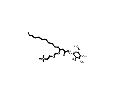 CCCCCCCCCCCC(CC(=O)NO[C@H]1O[C@H](CO)[C@@H](O)[C@H](O)[C@H]1O)OCOCC[Si](C)(C)C